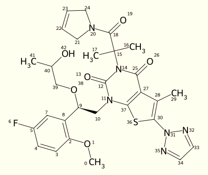 COc1ccc(F)cc1[C@H](Cn1c(=O)n(C(C)(C)C(=O)N2CC=CC2)c(=O)c2c(C)c(-n3nccn3)sc21)OCC(C)O